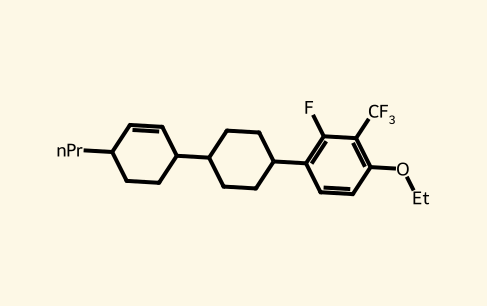 CCCC1C=CC(C2CCC(c3ccc(OCC)c(C(F)(F)F)c3F)CC2)CC1